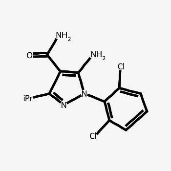 CC(C)c1nn(-c2c(Cl)cccc2Cl)c(N)c1C(N)=O